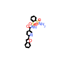 NS(=O)(=O)c1ccccc1S(=O)(=O)NC(=O)c1ccc(-c2cc3ccccc3o2)nc1